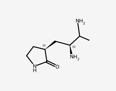 CC(N)[C@@H](N)C[C@@H]1CCNC1=O